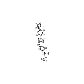 CN(C)CCNc1ccc(Cc2nc(-c3ccc(-n4ccnc4)cc3)cs2)cc1